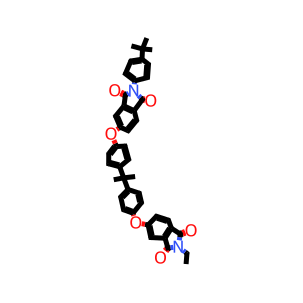 CCN1C(=O)c2ccc(Oc3ccc(C(C)(C)c4ccc(Oc5ccc6c(c5)C(=O)N(c5ccc(C(C)(C)C)cc5)C6=O)cc4)cc3)cc2C1=O